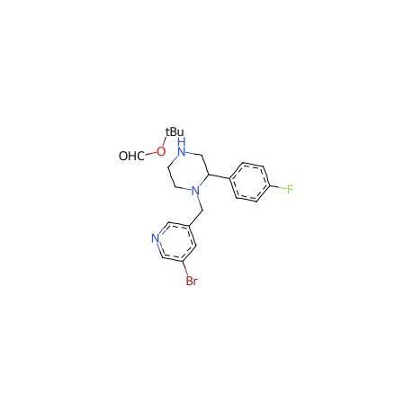 CC(C)(C)OC=O.Fc1ccc(C2CNCCN2Cc2cncc(Br)c2)cc1